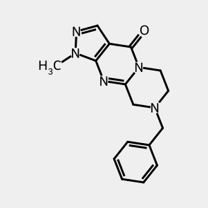 Cn1ncc2c(=O)n3c(nc21)CN(Cc1ccccc1)CC3